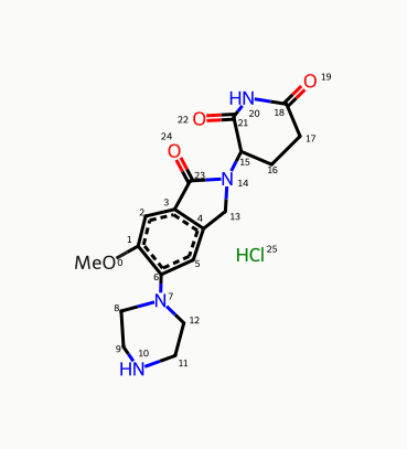 COc1cc2c(cc1N1CCNCC1)CN(C1CCC(=O)NC1=O)C2=O.Cl